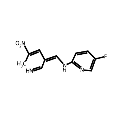 C/C(=C\C(C=N)=C\Nc1ccc(F)cn1)[N+](=O)[O-]